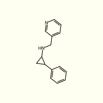 c1ccc(C2CC2NCc2cccnc2)cc1